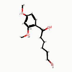 COc1ccc(C(O)CCCCCBr)c(OC)c1